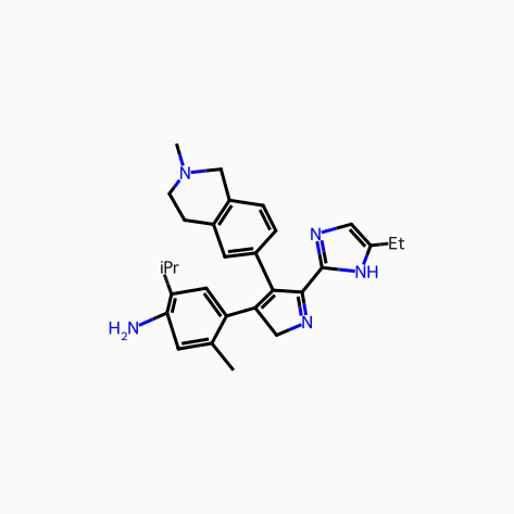 CCc1cnc(C2=NCC(c3cc(C(C)C)c(N)cc3C)=C2c2ccc3c(c2)CCN(C)C3)[nH]1